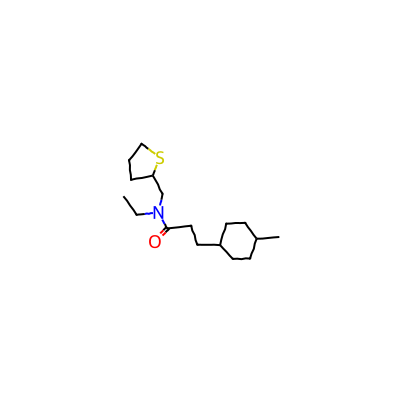 CCN(CC1CCCS1)C(=O)CCC1CCC(C)CC1